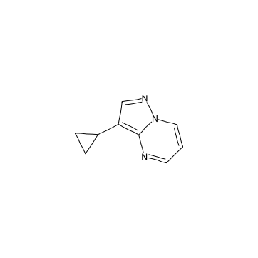 c1cnc2c(C3CC3)cnn2c1